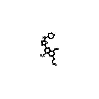 Cc1cc(-c2nnc(NC3CCOCC3)o2)nc2c(C(C)(C)C)cc(OCC(F)(F)F)cc12